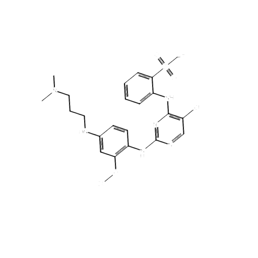 CCOc1cc(NCCCN(C)C)ccc1Nc1ncc(Cl)c(Nc2ccccc2S(=O)(=O)C(C)C)n1